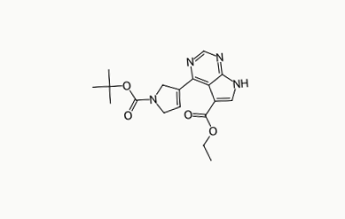 CCOC(=O)c1c[nH]c2ncnc(C3=CCN(C(=O)OC(C)(C)C)C3)c12